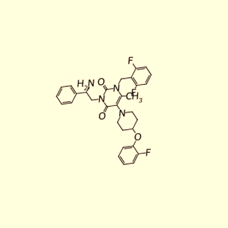 Cc1c(N2CCC(Oc3ccccc3F)CC2)c(=O)n(C[C@H](N)c2ccccc2)c(=O)n1Cc1c(F)cccc1F